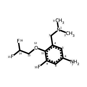 CN(C)Cc1cc(N)cc(F)c1OCC(F)F